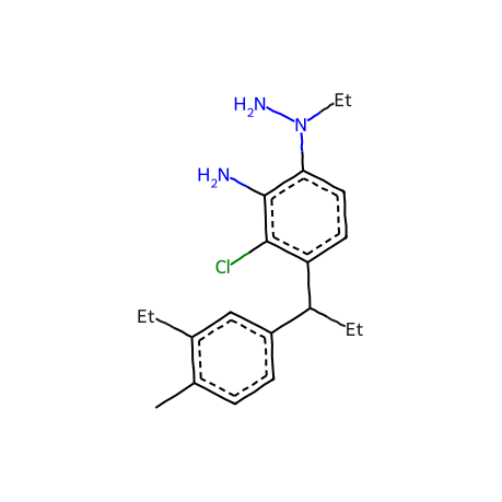 CCc1cc(C(CC)c2ccc(N(N)CC)c(N)c2Cl)ccc1C